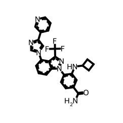 NC(=O)c1ccc(-n2nc(C(F)(F)F)c3c(-n4cnc(-c5cccnc5)c4)cccc32)c(NC2CCC2)c1